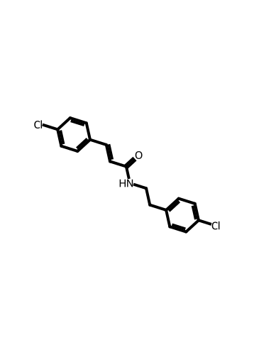 O=C(C=Cc1ccc(Cl)cc1)NCCc1ccc(Cl)cc1